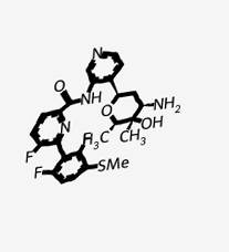 CSc1ccc(F)c(-c2nc(C(=O)Nc3cnccc3[C@H]3C[C@@H](N)[C@](C)(O)[C@@H](C)O3)ccc2F)c1F